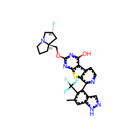 Cc1cc2[nH]ncc2c(-c2nccc3c2sc2nc(OC[C@@]45CCCN4C[C@H](F)C5)nc(O)c23)c1C(F)(F)F